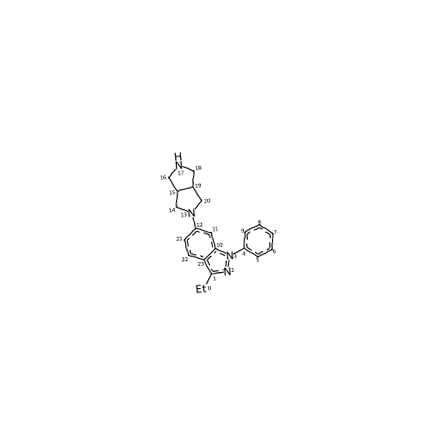 CCc1nn(-c2ccccc2)c2cc(N3CC4CNCC4C3)ccc12